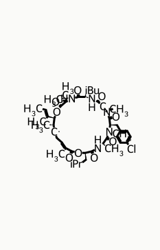 C/C=C(\C)[C@H]1OC(=O)C(C)(C)NC(=O)[C@H]([C@H](C)CC)NC(=O)CN(C)C(=O)[C@@H](Cc2ccc(Cl)cc2)N(C)C(=O)[C@H](C)NC(=O)[C@@H](CC(C)C)OC(=O)/C(C)=C/C[CH][C@@H]1C